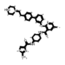 Cc1nc(C(=O)NC2CCC(NC(=O)c3cc(F)cnc3Oc3cccc(-c4ccc(CCN5CCNCC5)cc4)c3)CC2)cs1